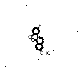 O=Cc1ccc2c(c1)CCN(c1cc(F)ccc1Cl)C2=O